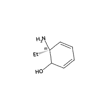 CC[C@]1(N)C=CC=CC1O